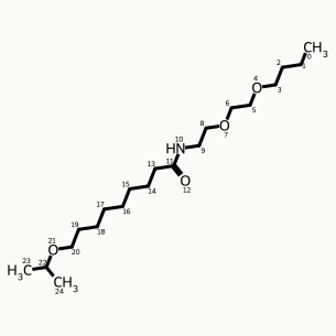 CCCCOCCOCCNC(=O)CCCCCCCCOC(C)C